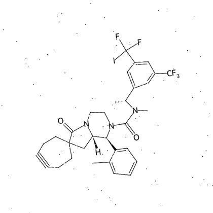 Cc1ccccc1[C@H]1[C@@H]2CC3(CCC#CCC3)C(=O)N2CCN1C(=O)N(C)[C@H](C)c1cc(C(F)(F)F)cc(C(F)(F)I)c1